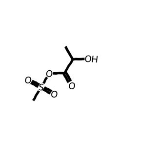 CC(O)C(=O)OS(C)(=O)=O